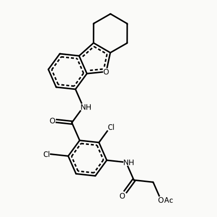 CC(=O)OCC(=O)Nc1ccc(Cl)c(C(=O)Nc2cccc3c4c(oc23)CCCC4)c1Cl